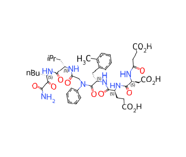 CCCC[C@H](NC(=O)[C@H](CC(C)C)NC(=O)CN(C(=O)[C@H](Cc1ccccc1C)NC(=O)[C@H](CCC(=O)O)NC(=O)[C@H](CC(=O)O)NC(=O)CCC(=O)O)c1ccccc1)C(=O)C(N)=O